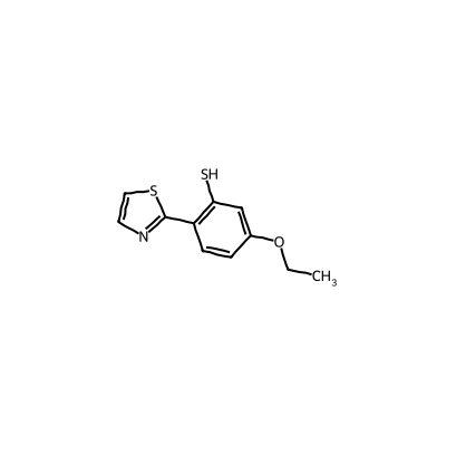 CCOc1ccc(-c2nccs2)c(S)c1